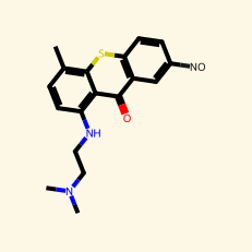 Cc1ccc(NCCN(C)C)c2c(=O)c3cc(N=O)ccc3sc12